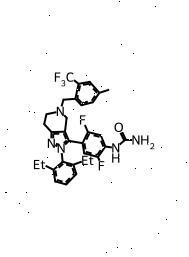 CCc1cccc(CC)c1-n1nc2c(c1-c1cc(F)c(NC(N)=O)cc1F)CN(Cc1ccc(C)cc1C(F)(F)F)CC2